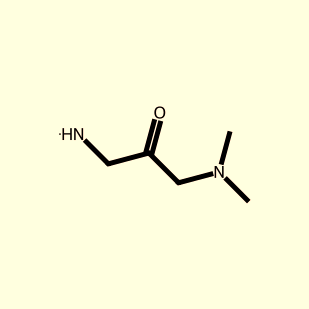 CN(C)CC(=O)C[NH]